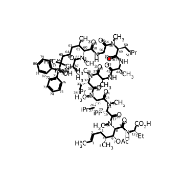 C/C=C/C[C@@H](C)[C@@H](OC(C)=O)[C@@H](C(=O)N[C@@H](CC)C(=O)O)N(C)C(=O)[C@H](C(C)C)N(C)C(=O)[C@H](CC(C)C)N(C)C(=O)[C@H](CC(C)C)N(C)C(=O)[C@@H](C)NC(=O)[C@H](C)NC(=O)[C@H](CC(C)C)N(C)C(=O)[C@@H](NC(=O)[C@@H]([C@H](C)CCCC(C)(C)[Si](O)(c1ccccc1)c1ccccc1)N(C)C(=O)[C@H](C)NC)C(C)C